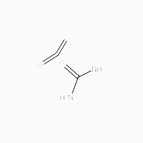 NC(N)=O.[C]=C=O